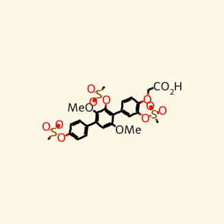 COc1cc(-c2ccc(OS(C)(=O)=O)cc2)c(OC)c(OS(C)(=O)=O)c1-c1ccc(OCC(=O)O)c(OS(C)(=O)=O)c1